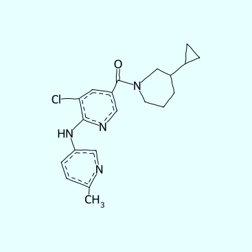 Cc1ccc(Nc2ncc(C(=O)N3CCCC(C4CC4)C3)cc2Cl)cn1